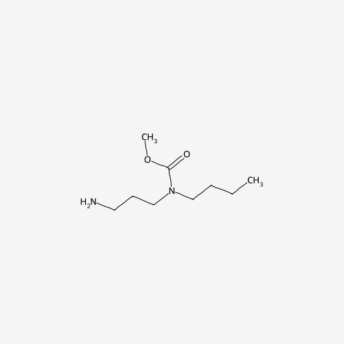 CCCCN(CCCN)C(=O)OC